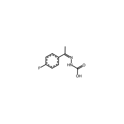 C/C(=N/NC(=O)O)c1ccc(F)cc1